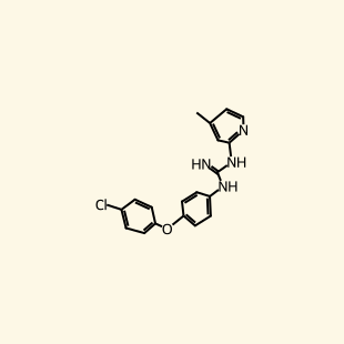 Cc1ccnc(NC(=N)Nc2ccc(Oc3ccc(Cl)cc3)cc2)c1